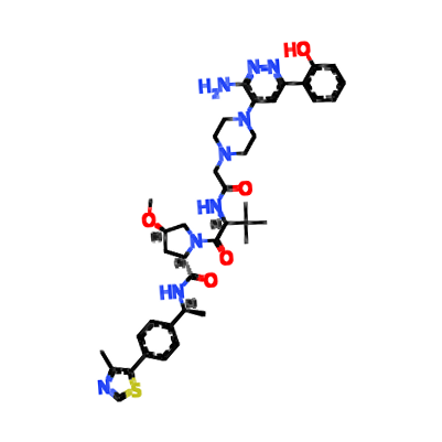 CO[C@@H]1C[C@@H](C(=O)N[C@@H](C)c2ccc(-c3scnc3C)cc2)N(C(=O)[C@@H](NC(=O)CN2CCN(c3cc(-c4ccccc4O)nnc3N)CC2)C(C)(C)C)C1